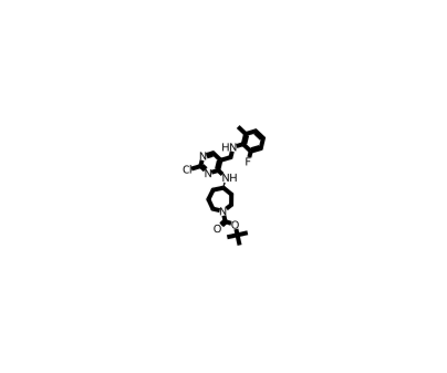 Cc1cccc(F)c1NCc1cnc(Cl)nc1N[C@H]1CCCN(C(=O)OC(C)(C)C)CC1